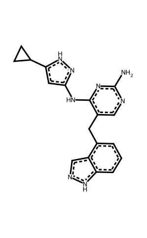 Nc1ncc(Cc2cccc3[nH]ncc23)c(Nc2cc(C3CC3)[nH]n2)n1